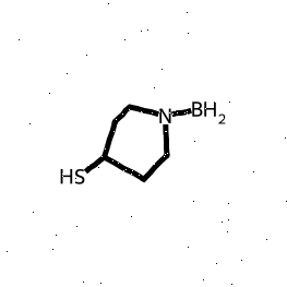 BN1CCC(S)CC1